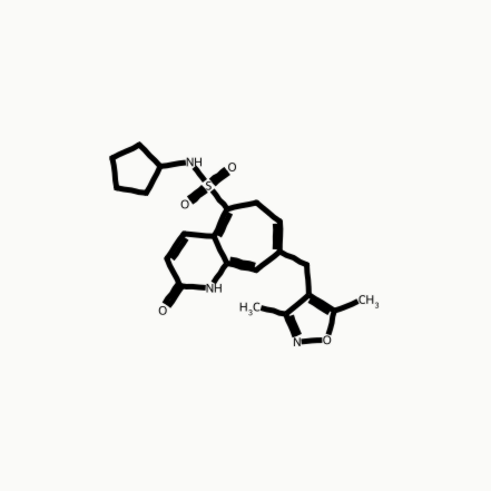 Cc1noc(C)c1CC1=CCC(S(=O)(=O)NC2CCCC2)=c2ccc(=O)[nH]c2=C1